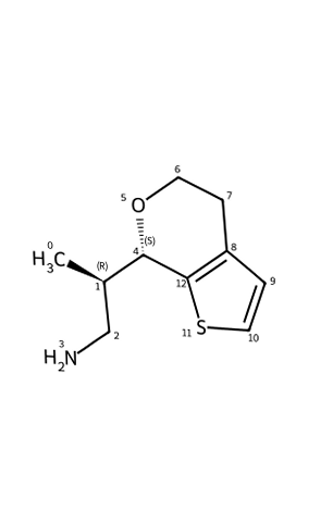 C[C@H](CN)[C@@H]1OCCc2ccsc21